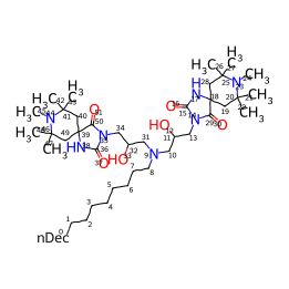 CCCCCCCCCCCCCCCCCCN(CC(O)CN1C(=O)NC2(CC(C)(C)N(C)C(C)(C)C2)C1=O)CC(O)CN1C(=O)NC2(CC(C)(C)N(C)C(C)(C)C2)C1=O